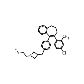 FCCCN1CC(Cc2ccc(C3=C(c4ccc(Cl)cc4C(F)(F)F)CCCc4ccccc43)cc2)C1